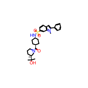 Cn1c(-c2ccccc2)cc2ccc(S(=O)(=O)N[C@H]3CC[C@H](C(=O)N4CCC[C@H](C(C)(C)O)C4)CC3)cc21